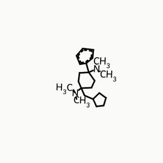 CN(C)C1(CC2CCCC2)CCC(c2ccccc2)(N(C)C)CC1